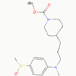 CN(CCCC1CCN(C(=O)OC(C)(C)C)CC1)c1ccc([S+](C)[O-])cc1